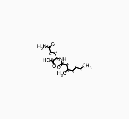 CCCCC(C)CC(=O)N[C@@H](CCC(N)=O)C(=O)O